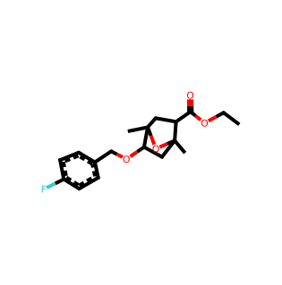 CCOC(=O)C1CC2(C)OC1(C)CC2OCc1ccc(F)cc1